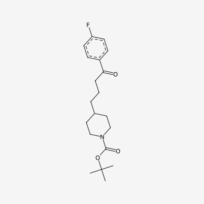 CC(C)(C)OC(=O)N1CCC(CCCC(=O)c2ccc(F)cc2)CC1